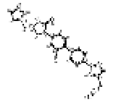 [C-]#[N+]Cc1csc(-c2ccc(-c3ccc(N4C[C@H](Cn5ccnn5)OC4=O)cc3F)cc2)n1